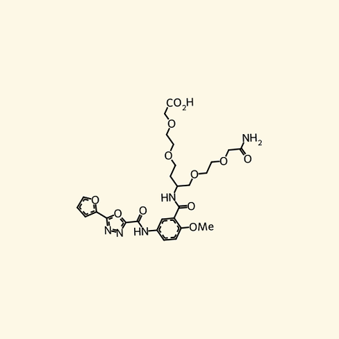 COc1ccc(NC(=O)c2nnc(-c3ccco3)o2)cc1C(=O)NC(CCOCCOCC(=O)O)COCCOCC(N)=O